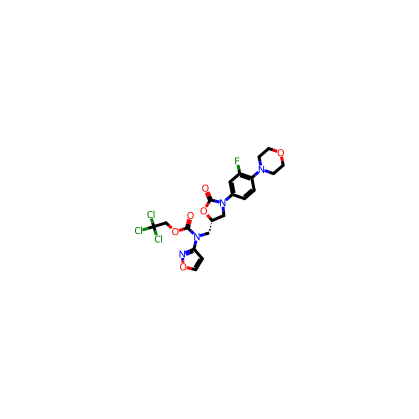 O=C1O[C@@H](CN(C(=O)OCC(Cl)(Cl)Cl)c2ccon2)CN1c1ccc(N2CCOCC2)c(F)c1